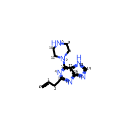 C=CCc1nc(N2CCNCC2)c2[nH]cnc2n1